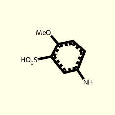 COc1ccc([NH])cc1S(=O)(=O)O